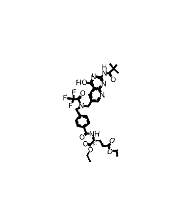 CCOC(=O)CC[C@H](NC(=O)c1ccc(CN(Cc2cnc3nc(NC(=O)C(C)(C)C)nc(O)c3c2)C(=O)C(F)(F)F)cc1)C(=O)OCC